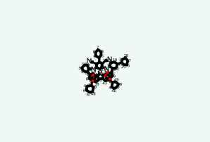 N#Cc1c(-c2ccccc2)c(C#N)c(-n2c3ccccc3c3cc(-c4ccccc4)ccc32)c(-n2c3ccccc3c3cc(-c4ccccc4)ccc32)c1-n1c2ccccc2c2cc(-c3ccccc3)ccc21